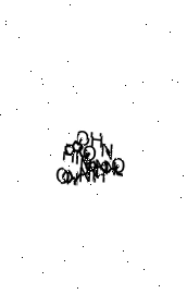 C=CC(=O)N1CCN(c2cc(C(=O)Nc3cc(O)cc4ccccc34)nc(NCCN3CCOCC3)n2)C[C@@H]1CC#N